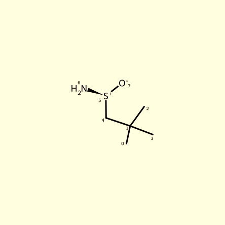 CC(C)(C)C[S@@+](N)[O-]